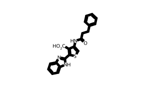 O=C(CCc1ccccc1)Nc1csc(-c2nc3ccccc3[nH]2)c1C(=O)O